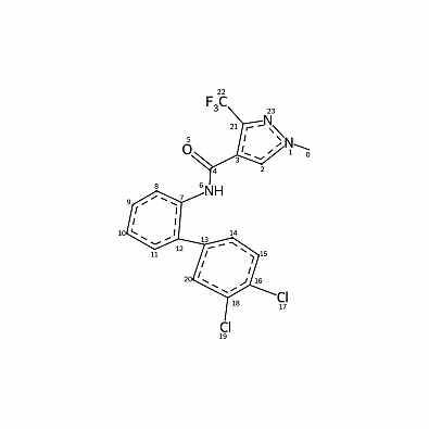 Cn1cc(C(=O)Nc2ccccc2-c2ccc(Cl)c(Cl)c2)c(C(F)(F)F)n1